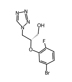 OC[C@@H](Cn1cnnn1)Oc1cc(Br)ccc1F